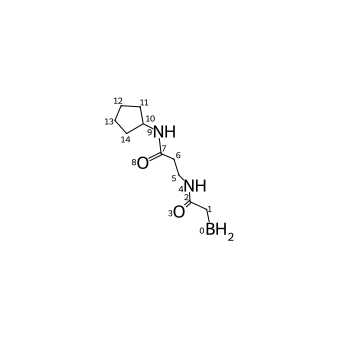 BCC(=O)NCCC(=O)NC1CCCC1